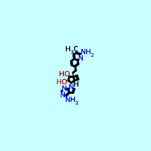 Cc1cc2ccc(CC[C@@]34C=C[C@@H]3[C@@H](n3ccc5c(N)ncnc53)[C@H](O)[C@@H]4O)cc2nc1N